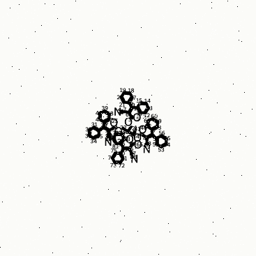 CC(COC(=O)C(C#N)=C(c1ccccc1)c1ccccc1)(COC(=O)C(C#N)=C(c1ccccc1)c1ccccc1)C(I)(OC(=O)C(C#N)=C(c1ccccc1)c1ccccc1)OC(=O)C(C#N)=C(c1ccccc1)c1ccccc1